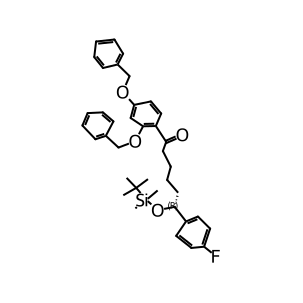 CC(C)(C)[Si](C)(C)O[C@H](CCCCC(=O)c1ccc(OCc2ccccc2)cc1OCc1ccccc1)c1ccc(F)cc1